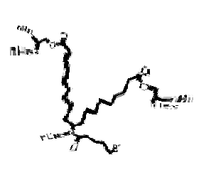 CCCCCCCCCCN(C(=O)CCCCBr)C(CCCCCCCCC(=O)OCC(CCCC)CCCCCC)CCCCCCCCC(=O)OCC(CCCC)CCCCCC